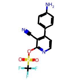 N#Cc1c(-c2ccc(N)cc2)ccnc1OS(=O)(=O)C(F)(F)F